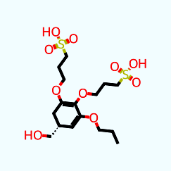 CCCOC1=C[C@H](CO)CC(OCCCS(=O)(=O)O)=C1OCCCS(=O)(=O)O